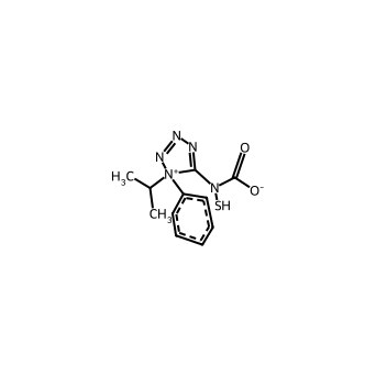 CC(C)[N+]1(c2ccccc2)N=NN=C1N(S)C(=O)[O-]